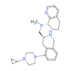 CN(C[C@@H]1Cc2c(cccc2N2CCN(C3CC3)CC2)CN1)[C@H]1CCCc2cccnc21